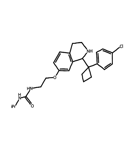 CC(C)NC(=O)NCCOc1ccc2c(c1)C(C1(c3ccc(Cl)cc3)CCC1)NCC2